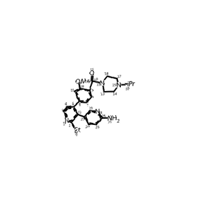 CCc1nccc(-c2ccc(C(=O)N3CCN(C(C)C)CC3)c(OC)c2)c1-c1ccc(N)nc1